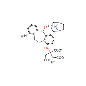 CN1C2CCC1CC(OC1c3ccccc3CCc3ccccc31)C2.O=C([O-])CC(O)(CC(=O)[O-])C(=O)[O-].[H+].[H+].[H+]